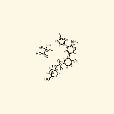 Cc1ncc(-c2nc(-c3cc(S(=O)(=O)NC45CCC(O)(CC4)C5)ccc3C)cnc2N)s1.O=C(O)C(F)(F)F